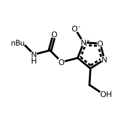 CCCCNC(=O)Oc1c(CO)no[n+]1[O-]